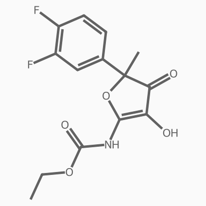 CCOC(=O)NC1=C(O)C(=O)C(C)(c2ccc(F)c(F)c2)O1